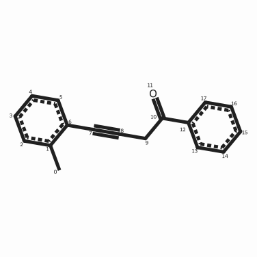 Cc1ccccc1C#CCC(=O)c1ccccc1